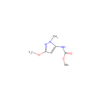 Cn1nc(OC(F)(F)F)cc1NC(=O)OC(C)(C)C